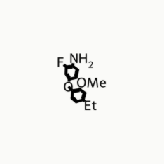 CCc1ccc(Oc2ccc(N)c(F)c2)c(OC)c1